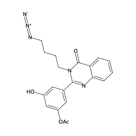 CC(=O)Oc1cc(O)cc(-c2nc3ccccc3c(=O)n2CCCCN=[N+]=[N-])c1